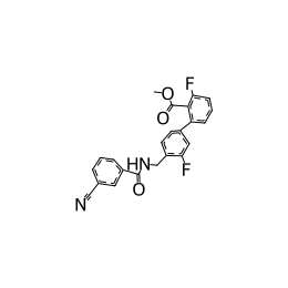 COC(=O)c1c(F)cccc1-c1ccc(CNC(=O)c2cccc(C#N)c2)c(F)c1